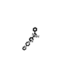 c1ccc(-c2c[nH]c(-c3ccc(N4CCC(N5CCCC5)CC4)nc3)n2)cc1